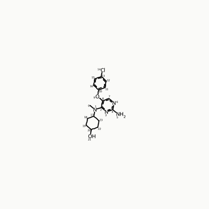 CN(c1nc(N)ncc1Oc1ccc(Cl)cc1)C1CCC(O)CC1